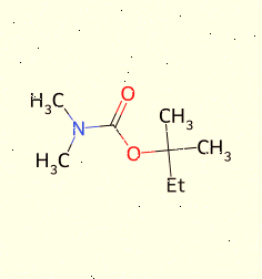 CCC(C)(C)OC(=O)N(C)C